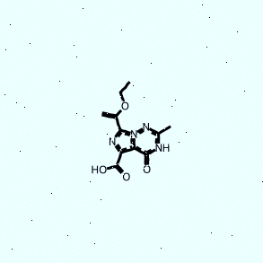 C=C(OCC)c1nc(C(=O)O)c2c(=O)[nH]c(C)nn12